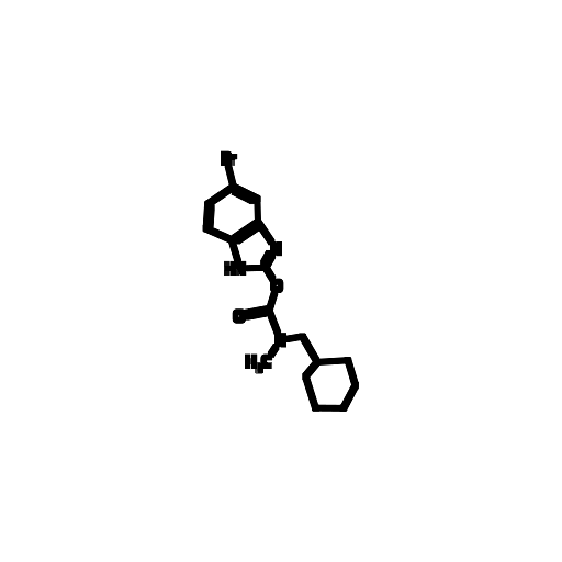 CN(CC1CCCCC1)C(=O)Oc1nc2cc(Br)ccc2[nH]1